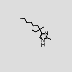 CCCCCCC(C)(CC)c1c[nH]c(C)n1